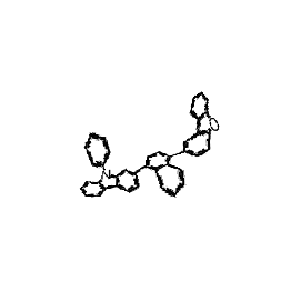 c1ccc(-n2c3ccccc3c3ccc(-c4ccc(-c5ccc6oc7ccccc7c6c5)c5ccccc45)cc32)cc1